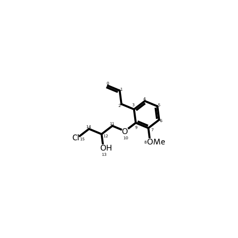 C=CCc1cccc(OC)c1OCC(O)CCl